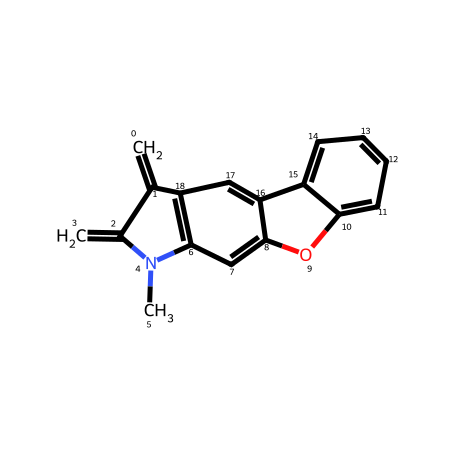 C=c1c(=C)n(C)c2cc3oc4ccccc4c3cc12